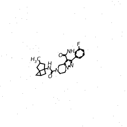 CC1CC2(NC(=O)N3CCn4nc(-c5cccc(F)c5)c(C(N)=O)c4C3)CC3CC32C1